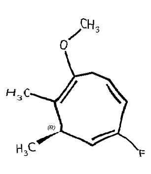 COC1=C(C)[C@H](C)C=C(F)C=C1